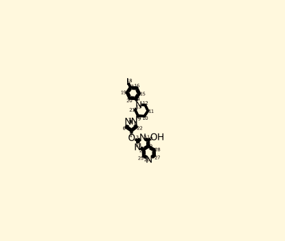 Oc1nc(Oc2cnn([C@@H]3CCCN(c4ccc(I)cc4)C3)c2)nc2cnccc12